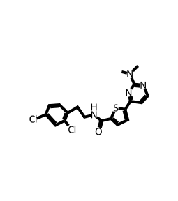 CN(C)c1nccc(-c2ccc(C(=O)NCCc3ccc(Cl)cc3Cl)s2)n1